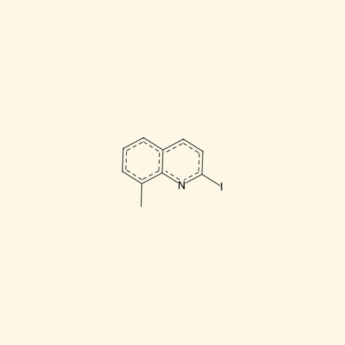 Cc1cccc2ccc(I)nc12